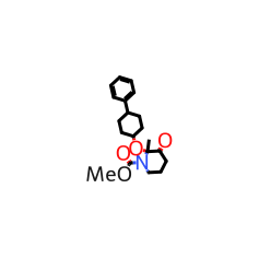 COC(=O)N1CCCC(=O)C1(C)OC1CCC(c2ccccc2)CC1